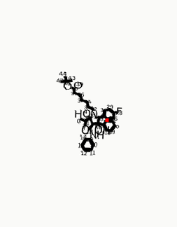 CC(C)[C@@]1(O)C(C(=O)Nc2ccccc2)[C@@](O)(c2ccccc2)C(c2ccc(F)cc2)N1CCCCCCC(=O)OC(C)(C)C